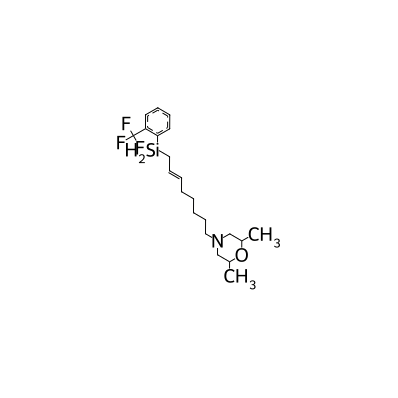 CC1CN(CCCCCC=CC[SiH2]c2ccccc2C(F)(F)F)CC(C)O1